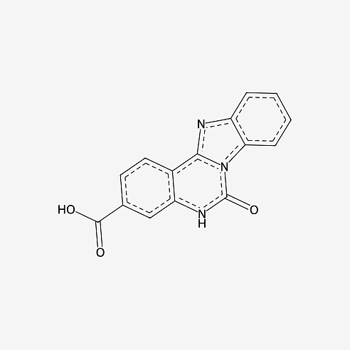 O=C(O)c1ccc2c(c1)[nH]c(=O)n1c3ccccc3nc21